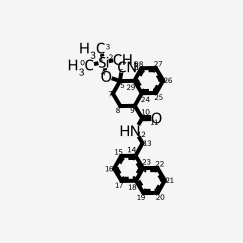 C[Si](C)(C)OC1(C#N)CCC(C(=O)NCc2cccc3ccccc23)c2ccccc21